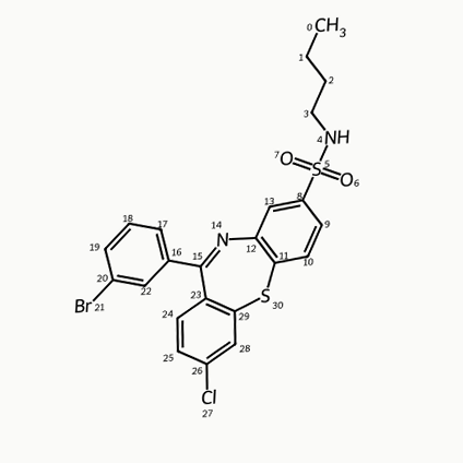 CCCCNS(=O)(=O)c1ccc2c(c1)N=C(c1cccc(Br)c1)c1ccc(Cl)cc1S2